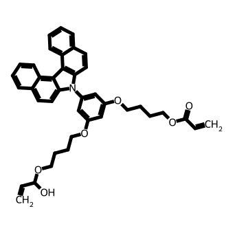 C=CC(=O)OCCCCOc1cc(OCCCCOC(O)C=C)cc(-n2c3ccc4ccccc4c3c3c4ccccc4ccc32)c1